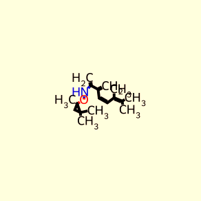 C=C(/C=C\C(C)=C(C)C)C(=C)NOC1(C)CC1(C)C